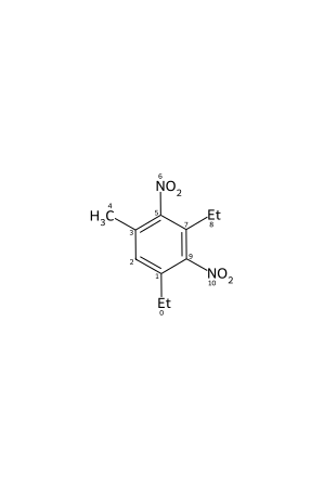 CCc1cc(C)c([N+](=O)[O-])c(CC)c1[N+](=O)[O-]